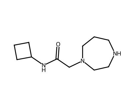 O=C(CN1CCCNCC1)NC1CCC1